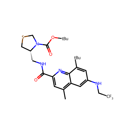 Cc1cc(C(=O)NC[C@@H]2CSCN2C(=O)OC(C)(C)C)nc2c(C(C)(C)C)cc(NCC(F)(F)F)cc12